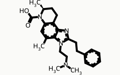 Cc1cc2c(c3nc(CCc4ccccc4)n(CCN(C)C)c13)CC[C@H](C)N2C(=O)O